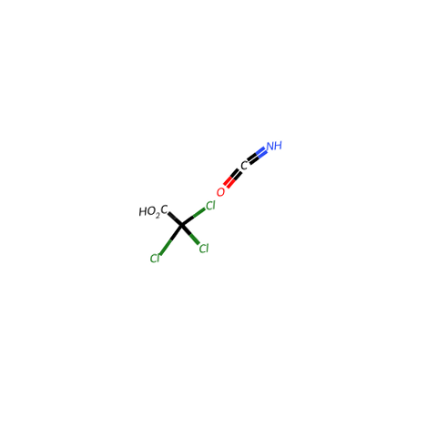 N=C=O.O=C(O)C(Cl)(Cl)Cl